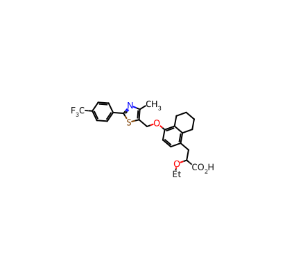 CCOC(Cc1ccc(OCc2sc(-c3ccc(C(F)(F)F)cc3)nc2C)c2c1CCCC2)C(=O)O